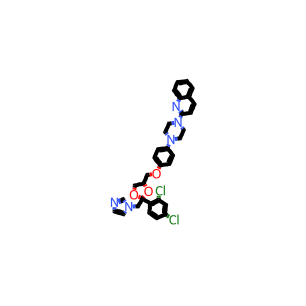 Clc1ccc(C2(Cn3ccnc3)OCC(COc3ccc(N4CCN(c5ccc6ccccc6n5)CC4)cc3)O2)c(Cl)c1